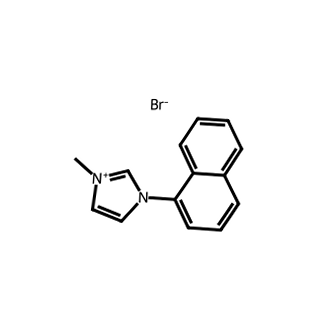 C[n+]1ccn(-c2cccc3ccccc23)c1.[Br-]